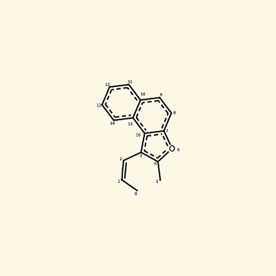 C/C=C\c1c(C)oc2ccc3ccccc3c12